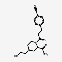 N#Cc1ccc(C[CH]C(=O)N2CCN(CCO)CC2C(N)=O)cc1